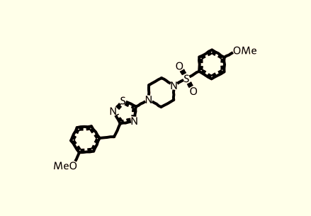 COc1ccc(S(=O)(=O)N2CCN(c3nc(Cc4cccc(OC)c4)ns3)CC2)cc1